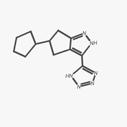 C1CCC(C2Cc3n[nH]c(-c4nnn[nH]4)c3C2)C1